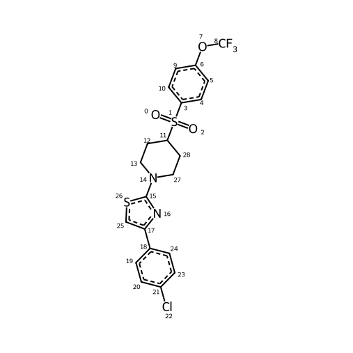 O=S(=O)(c1ccc(OC(F)(F)F)cc1)C1CCN(c2nc(-c3ccc(Cl)cc3)cs2)CC1